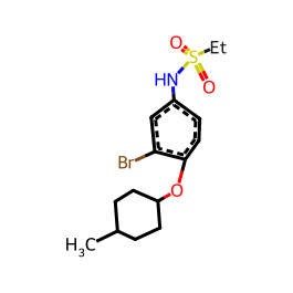 CCS(=O)(=O)Nc1ccc(OC2CCC(C)CC2)c(Br)c1